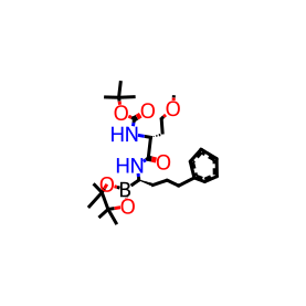 COCC[C@@H](NC(=O)OC(C)(C)C)C(=O)N[C@@H](CCCc1ccccc1)B1OC(C)(C)C(C)(C)O1